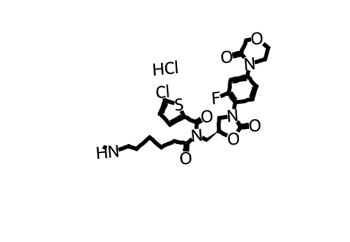 CNCCCCCC(=O)N(C[C@H]1CN(c2ccc(N3CCOCC3=O)cc2F)C(=O)O1)C(=O)c1ccc(Cl)s1.Cl